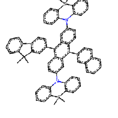 CC1(C)c2ccccc2-c2ccc(-c3c4ccc(N5c6ccccc6[Si](C)(C)c6ccccc65)cc4c(-c4ccc5ccccc5c4)c4ccc(N5c6ccccc6[Si](C)(C)c6ccccc65)cc34)cc21